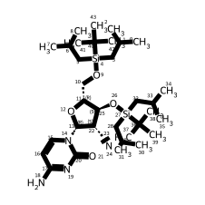 CC(C)C[Si](CC(C)C)(OC[C@H]1O[C@@H](n2ccc(N)nc2=O)[C@@H](C#N)[C@@H]1O[Si](CC(C)C)(CC(C)C)C(C)(C)C)C(C)(C)C